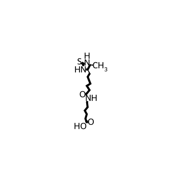 C[C@@H]1NC(=S)N[C@@H]1CCCCCC(=O)NCCCCCC(=O)O